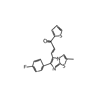 Cc1cn2c(/C=C/C(=O)c3cccs3)c(-c3ccc(F)cc3)nc2s1